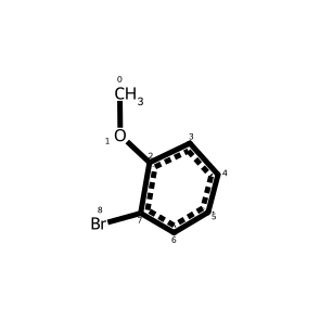 COc1cc[c]cc1Br